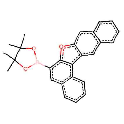 CC1(C)OB(c2cc3ccccc3c3c2oc2cc4ccccc4cc23)OC1(C)C